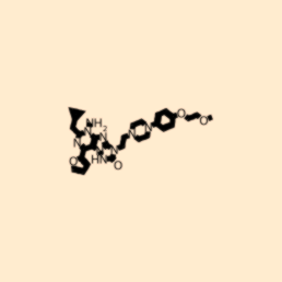 COCCOc1ccc(N2CCN(CCn3c(=O)[nH]n4c5c(nc34)N(N)C(CC3CC3)N=C5c3ccco3)CC2)cc1